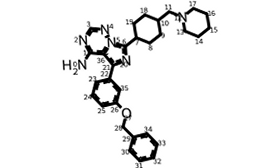 Nc1ncnn2c(C3CCC(CN4CCCCC4)CC3)nc(-c3cccc(OCc4ccccc4)c3)c12